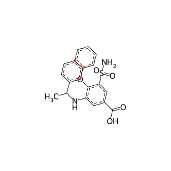 CC(Nc1cc(C(=O)O)cc(S(N)(=O)=O)c1Oc1ccccc1)c1ccccc1